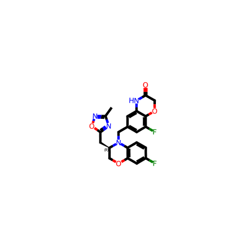 Cc1noc(C[C@@H]2COc3cc(F)ccc3N2Cc2cc(F)c3c(c2)NC(=O)CO3)n1